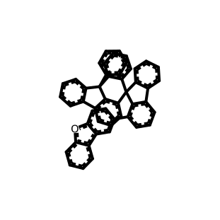 c1ccc(C23c4ccccc4-c4cccc(c42)C2(c4ccccc4-c4cccc(-c5ccc6oc7ccccc7c6c5)c42)c2ccccc23)cc1